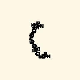 N#Cc1ccc(OC2CCC(NC(=O)c3ccc(N4CCN(CC5CCN(c6ccc(-n7nc(C#N)c(=O)[nH]c7=O)cc6)CC5)CC4)nn3)CC2)cc1Cl